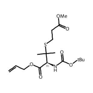 C=CCOC(=O)[C@H](NC(=O)OC(C)(C)C)C(C)(C)SCCC(=O)OC